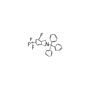 Fc1cc(C(F)(F)F)cc2c1CN(C(c1ccccc1)(c1ccccc1)c1ccccc1)C2